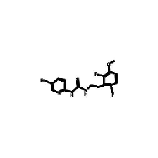 COc1ccc(F)c(CCNC(=S)Nc2ccc(Br)cn2)c1F